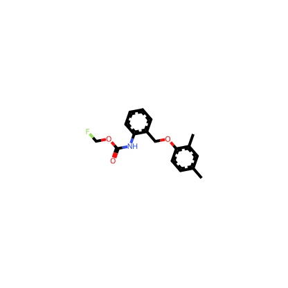 Cc1ccc(OCc2ccccc2NC(=O)OCF)c(C)c1